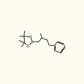 CC(CCc1ccccc1)CB1OC(C)(C)C(C)(C)O1